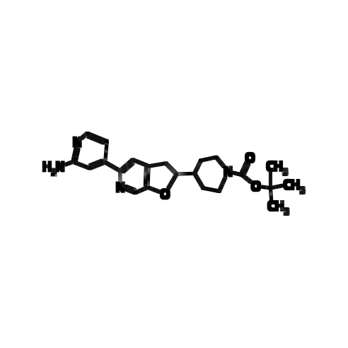 CC(C)(C)OC(=O)N1CCC(C2Cc3cc(-c4ccnc(N)c4)ncc3O2)CC1